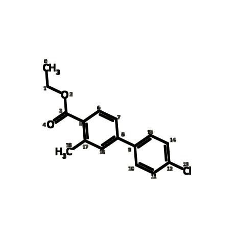 CCOC(=O)c1ccc(-c2ccc(Cl)cc2)cc1C